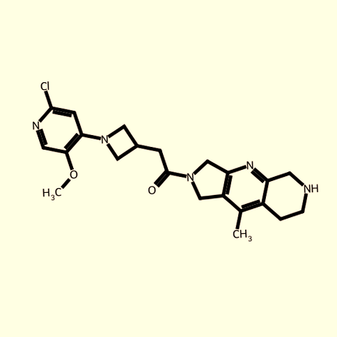 COc1cnc(Cl)cc1N1CC(CC(=O)N2Cc3nc4c(c(C)c3C2)CCNC4)C1